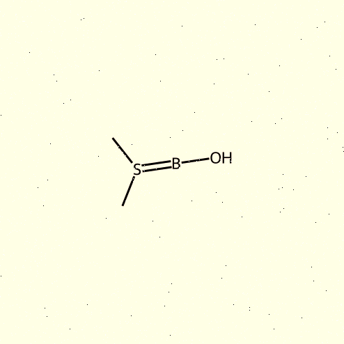 CS(C)=BO